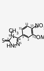 COc1cc(-c2n[nH]c(=S)n2C)ccc1[N+](=O)[O-]